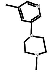 Cc1cncc(N2CCN(C)CC2)c1